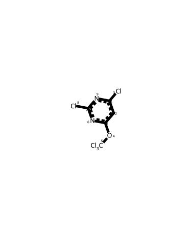 Clc1cc(OC(Cl)(Cl)Cl)nc(Cl)n1